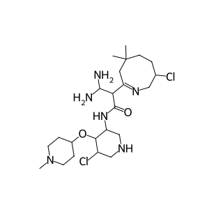 CN1CCC(OC2C(Cl)CNCC2NC(=O)C(/C2=N/CC(Cl)CCC(C)(C)C2)C(N)N)CC1